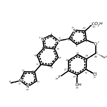 C[C@@H](Oc1cc(-n2cnc3cc(-c4cnn(C)c4)ccc32)sc1C(=O)O)c1ccc(F)c(O)c1Cl